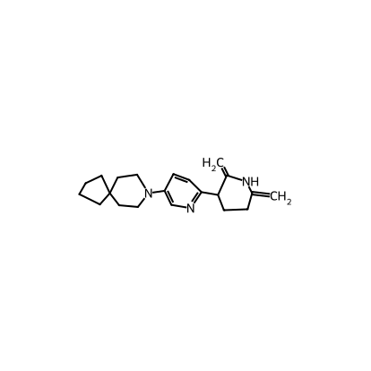 C=C1CCC(c2ccc(N3CCC4(CCCC4)CC3)cn2)C(=C)N1